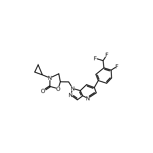 O=C1OC(Cn2ncc3ncc(-c4ccc(F)c(C(F)F)c4)cc32)CN1C1CC1